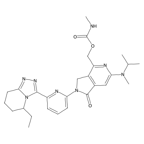 CCC1CCCc2nnc(-c3cccc(N4Cc5c(cc(N(C)C(C)C)nc5COC(=O)NC)C4=O)n3)n21